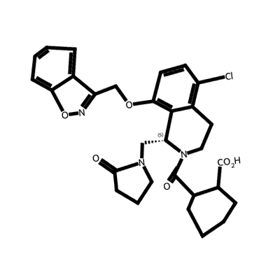 O=C(O)C1CCCCC1C(=O)N1CCc2c(Cl)ccc(OCc3noc4ccccc34)c2[C@H]1CN1CCCC1=O